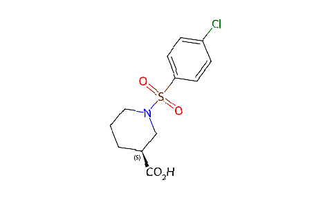 O=C(O)[C@H]1CCCN(S(=O)(=O)c2ccc(Cl)cc2)C1